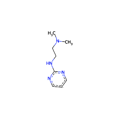 CN(C)CCNc1nc[c]cn1